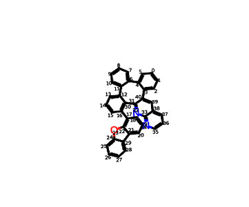 c1ccc2c(c1)-c1ccccc1-c1cccc(-c3cccc4c3oc3ccccc34)c1-c1nc3ncccc3cc1-2